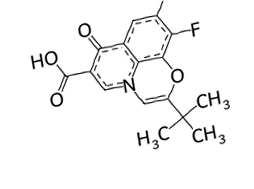 CC(C)(C)C1=Cn2cc(C(=O)O)c(=O)c3cc(F)c(F)c(c32)O1